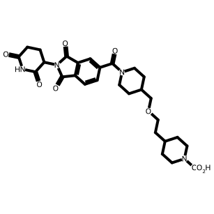 O=C1CCC(N2C(=O)c3ccc(C(=O)N4CCC(COCCC5CCN(C(=O)O)CC5)CC4)cc3C2=O)C(=O)N1